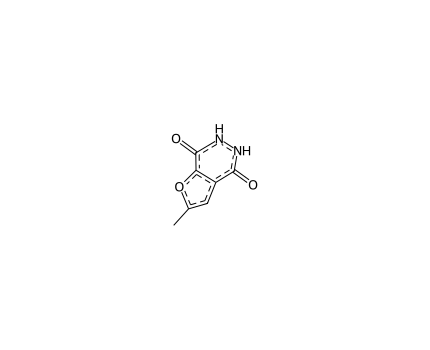 Cc1cc2c(=O)[nH][nH]c(=O)c2o1